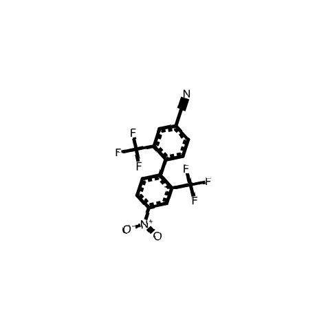 N#Cc1ccc(-c2ccc([N+](=O)[O-])cc2C(F)(F)F)c(C(F)(F)F)c1